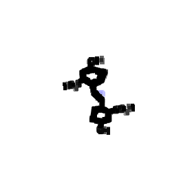 O=S(=O)(O)c1cc(O)ccc1/C=C/c1ccc(O)cc1S(=O)(=O)O